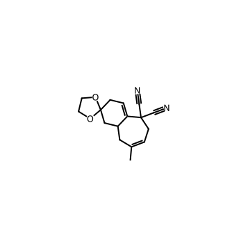 CC1=CCC(C#N)(C#N)C2=CCC3(CC2C1)OCCO3